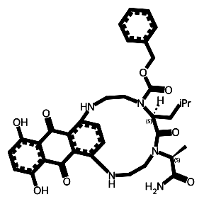 CC(C)C[C@H]1C(=O)N([C@@H](C)C(N)=O)CCNc2ccc(c3c2C(=O)c2c(O)ccc(O)c2C3=O)NCCN1C(=O)OCc1ccccc1